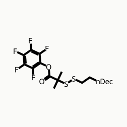 CCCCCCCCCCCCSSC(C)(C)C(=O)Oc1c(F)c(F)c(F)c(F)c1F